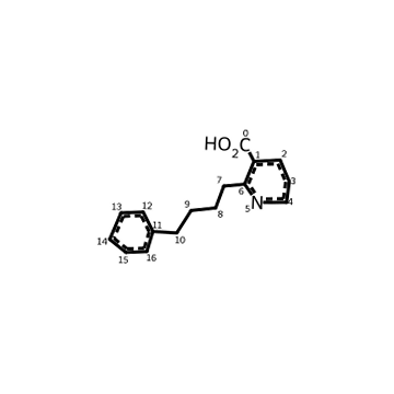 O=C(O)c1cccnc1CCCCc1ccccc1